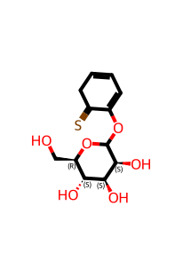 OC[C@H]1OC(OC2=CC=CCC2=S)[C@@H](O)[C@@H](O)[C@@H]1O